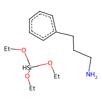 CCO[SiH](OCC)OCC.NCCCc1ccccc1